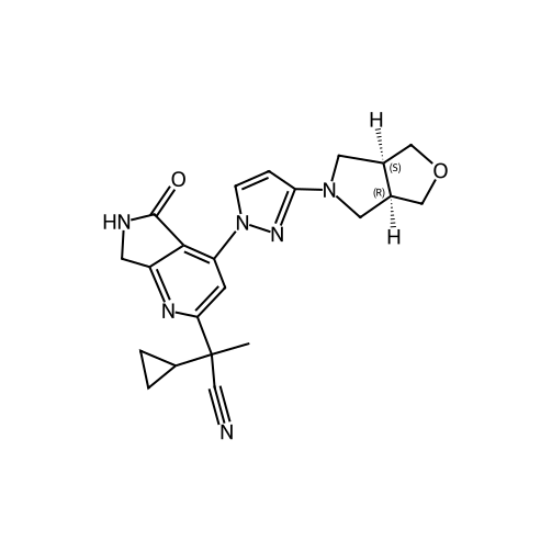 CC(C#N)(c1cc(-n2ccc(N3C[C@H]4COC[C@H]4C3)n2)c2c(n1)CNC2=O)C1CC1